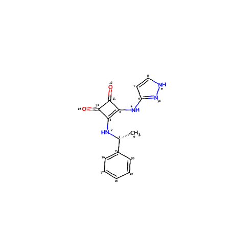 C[C@@H](Nc1c(Nc2cc[nH]n2)c(=O)c1=O)c1ccccc1